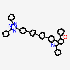 c1ccc(-c2nc(-c3ccccc3)nc(-c3ccc(-c4ccc(-c5ccc(-c6ccc7c(c6)nc(-c6ccccc6)c6ccc8oc9ccccc9c8c67)cc5)cc4)cc3)n2)cc1